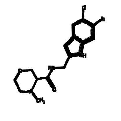 CCc1cc2[nH]c(CNC(=O)C3COCCN3C)cc2cc1Cl